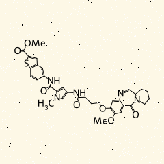 COC(=O)c1cc2cc(NC(=O)c3cc(NC(=O)CCCOc4cc5c(cc4OC)C(=O)N4CCCCC4C=N5)cn3C)ccc2s1